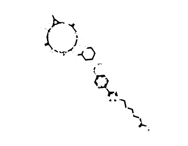 CO[C@@]1(C)C[C@@H](C)C(=O)[C@H](C)[C@@H](O)[C@@]2(O)C(C)C2OC(=O)[C@H](C)[C@H](O)[C@H](C)[C@H]1OC1C[C@@H](N(C)Cc2ccc(-c3cn(CCCCCC(=O)NO)nn3)cc2)C[C@@H](C)O1